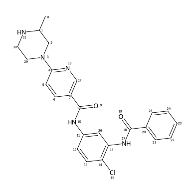 CC1CN(c2ccc(C(=O)Nc3ccc(Cl)c(NC(=O)c4ccccc4)c3)cn2)CCN1